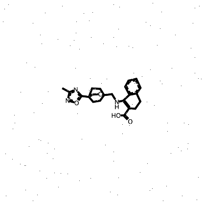 Cc1noc(C23CCC(CNC4=C(C(=O)O)CCc5ccccc54)(CC2)CC3)n1